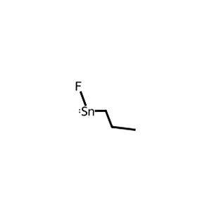 CC[CH2][Sn][F]